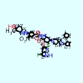 CC(C)c1ccccc1[C@@H]1CCC[C@@H]1N1CC2(CCN(c3ccc(C(=O)NS(=O)(=O)c4ccc(NC[C@H]5CC[C@](C)(O)CC5)c([N+](=O)[O-])c4)c(Oc4cc5c(F)c[nH]c5nc4F)c3)CC2)C1